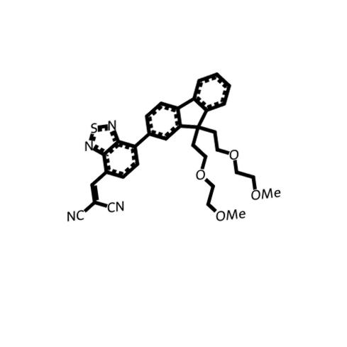 COCCOCCC1(CCOCCOC)c2ccccc2-c2ccc(-c3ccc(C=C(C#N)C#N)c4nsnc34)cc21